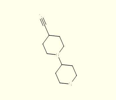 N#CC1CCN(C2CCNCC2)CC1